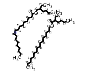 CCCCCCCC/C=C\CCCCCCCC(=O)OCC(CC)CCCC.CCCCCCCCCCCCCCCCOC(=O)C(CC)CCCC